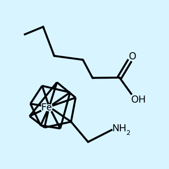 CCCCCC(=O)O.NC[C]12[CH]3[CH]4[CH]5[CH]1[Fe]45321678[CH]2[CH]1[CH]6[CH]7[CH]28